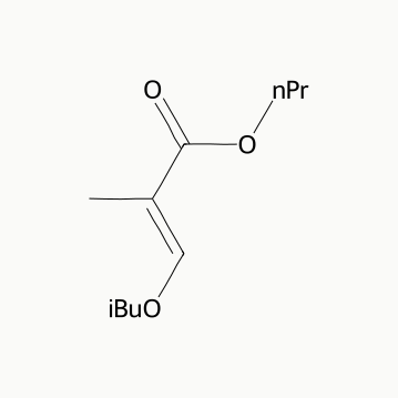 CCCOC(=O)C(C)=COCC(C)C